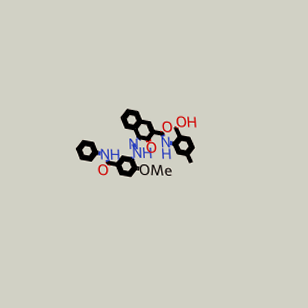 COc1ccc(C(=O)Nc2ccccc2)cc1N/N=C1\C(=O)C(C(=O)Nc2cc(C)ccc2CO)=Cc2ccccc21